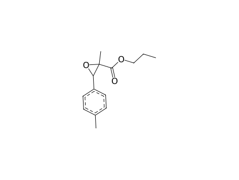 CCCOC(=O)C1(C)OC1c1ccc(C)cc1